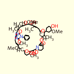 COC1CC(CC(C)[C@@H]2CC(=O)C/C=C(\C)[C@@H](O)C(OC)C(=O)[C@H](C)C[C@H](C)C3C=CC(/C=C(\C)[C@@H](OC)CC4CCC(C)C(O)(O4)C(=O)C(=O)N4CCCC[C@H]4C(=O)O2)n2c(=O)n(-c4ccccc4)c(=O)n23)CC[C@H]1O